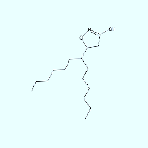 CCCCCCC(CCCCCC)C1CC(O)=NO1